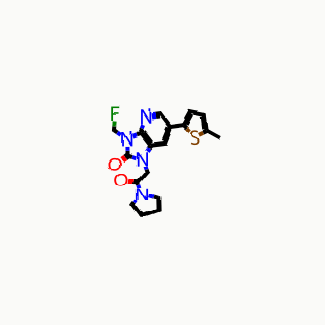 Cc1ccc(-c2cnc3c(c2)n(CC(=O)N2CCCC2)c(=O)n3CF)s1